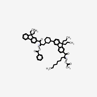 CCCCCCC/C(=N\OC(C)=O)C(=O)c1ccc2c(c1)C(CCC)(CCC)c1ccc(C3CCCC(C/C(=N\OC(=O)c4ccccc4)C(=O)c4ccc5c(c4)C(CC)(CC)c4ccccc4-5)C3)cc1-2